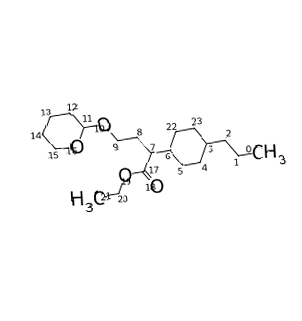 CCCC1CCC(C(CCOC2CCCCO2)C(=O)OCC)CC1